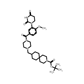 COc1ccc(C(=O)N2CCN(CC3CCC4(CC3)CCN(C(=O)OC(C)(C)C)CC4)CC2)cc1N1CCC(=O)NC1=O